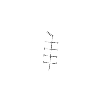 C=[C]C(F)(F)C(F)(F)C(F)(F)C(F)(F)F